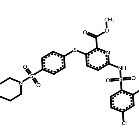 COC(=O)c1nc(NS(=O)(=O)c2ccc(Cl)cc2Cl)ccc1Sc1ccc(S(=O)(=O)N2CCCCC2)cc1